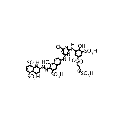 O=S(=O)(O)OCCS(=O)(=O)c1cc(Nc2nc(Cl)nc(Nc3ccc4c(O)c(/N=N/c5ccc6c(S(=O)(=O)O)cccc6c5S(=O)(=O)O)c(S(=O)(=O)O)cc4c3)n2)c(O)c(S(=O)(=O)O)c1